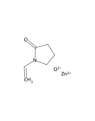 C=CN1CCCC1=O.[O-2].[Zn+2]